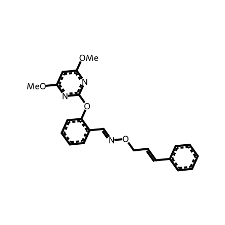 COc1cc(OC)nc(Oc2ccccc2C=NOCC=Cc2ccccc2)n1